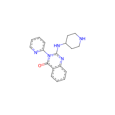 O=c1c2ccccc2nc(NC2CCNCC2)n1-c1ccccn1